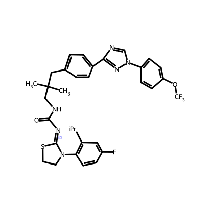 CC(C)c1cc(F)ccc1N1CCS/C1=N\C(=O)NCC(C)(C)Cc1ccc(-c2ncn(-c3ccc(OC(F)(F)F)cc3)n2)cc1